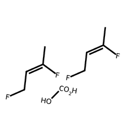 CC(F)=CCF.CC(F)=CCF.O=C(O)O